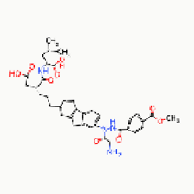 COC(=O)c1ccc(C(=O)NN(C(=O)CN)c2ccc3c(c2)Cc2cc(CCC[C@H](CC(=O)O)C(=O)N[C@@H](CC(C)C)C(=O)O)ccc2-3)cc1